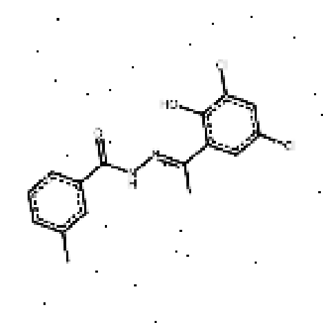 C/C(=N\NC(=O)c1cccc(C)c1)c1cc(Cl)cc(Cl)c1O